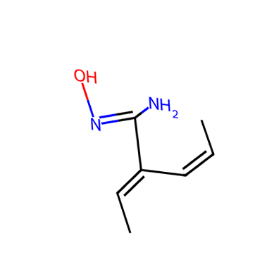 C\C=C/C(=C\C)C(/N)=N/O